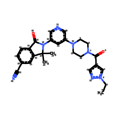 CCn1cc(C(=O)N2CCN(c3cncc(N4C(=O)c5ccc(C#N)cc5C4(C)C)c3)CC2)cn1